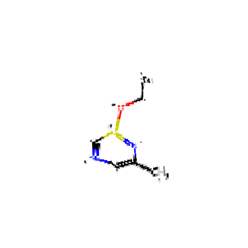 CC1=CN=CS(OCC(C)(C)C)=N1